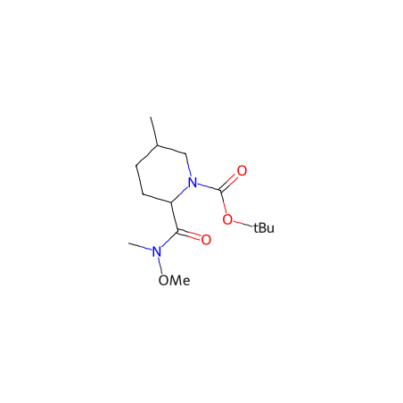 CON(C)C(=O)C1CCC(C)CN1C(=O)OC(C)(C)C